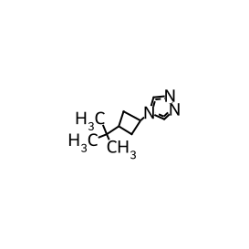 CC(C)(C)C1CC(n2cnnc2)C1